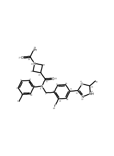 Cc1cccc(N(Cc2ccc(C3=NNC(C)O3)cc2F)C(=O)C2CN(C(=O)C(C)C)C2)c1